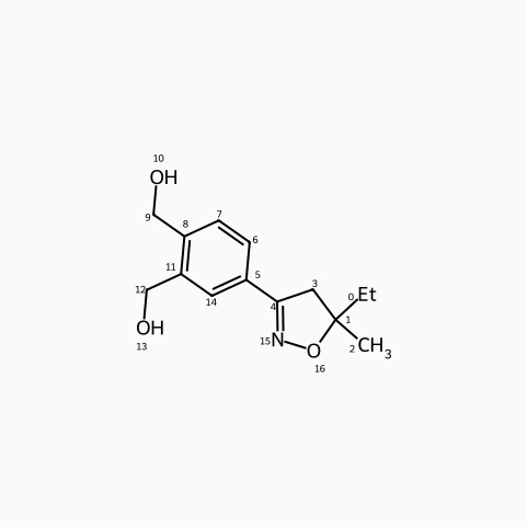 CCC1(C)CC(c2ccc(CO)c(CO)c2)=NO1